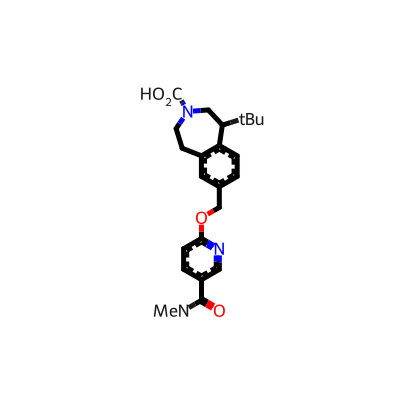 CNC(=O)c1ccc(OCc2ccc3c(c2)CCN(C(=O)O)CC3C(C)(C)C)nc1